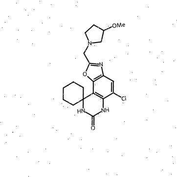 COC1CCN(Cc2nc3cc(Cl)c4c(c3o2)C2(CCCCC2)NC(=O)N4)C1